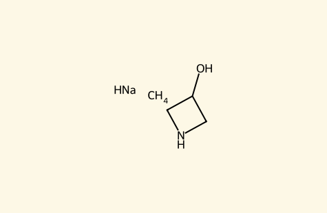 C.OC1CNC1.[NaH]